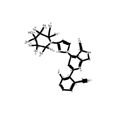 [2H]C1([2H])N(c2ccn(-c3cc(-c4c(F)cccc4C#N)nc4c3C(=O)NC4)n2)C([2H])([2H])C([2H])([2H])C([2H])(O)C1([2H])[2H]